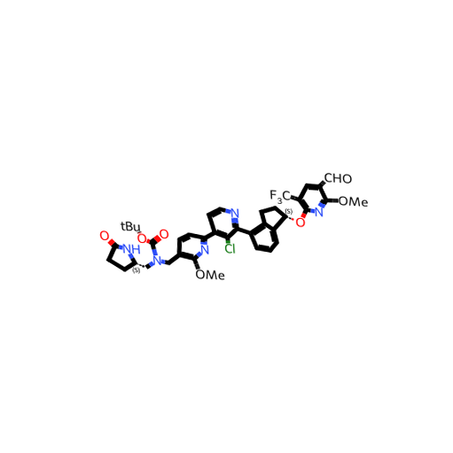 COc1nc(O[C@H]2CCc3c(-c4nccc(-c5ccc(CN(C[C@@H]6CCC(=O)N6)C(=O)OC(C)(C)C)c(OC)n5)c4Cl)cccc32)c(C(F)(F)F)cc1C=O